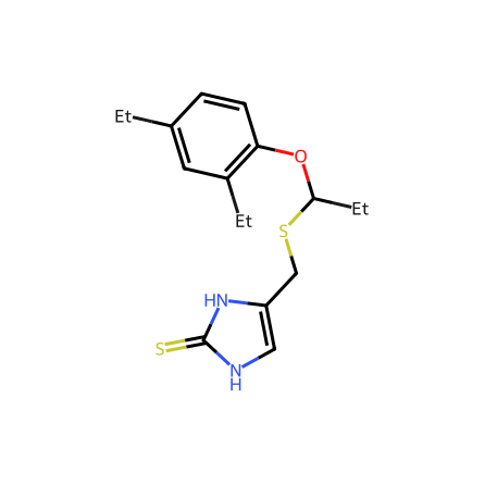 CCc1ccc(OC(CC)SCc2c[nH]c(=S)[nH]2)c(CC)c1